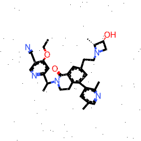 CCOc1cc(C(C)N2CCc3c(cc(CCN4C[C@@H](O)[C@H]4C)cc3-c3cc(C)cnc3C)C2=O)ncc1C#N